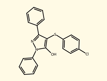 Oc1c(Sc2ccc(Cl)cc2)c(-c2ccccc2)nn1-c1ccccc1